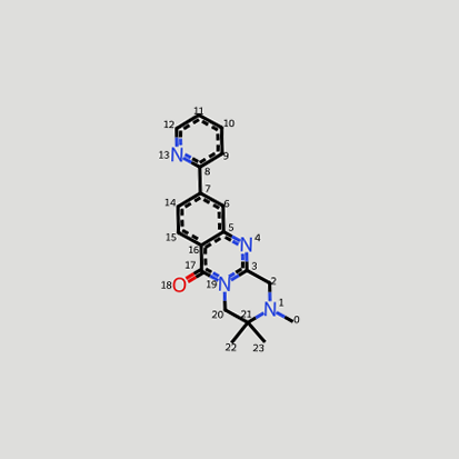 CN1Cc2nc3cc(-c4ccccn4)ccc3c(=O)n2CC1(C)C